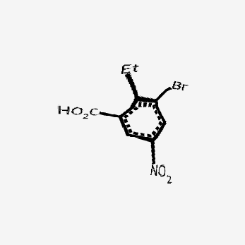 CCc1c(Br)cc([N+](=O)[O-])cc1C(=O)O